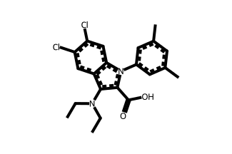 CCN(CC)c1c(C(=O)O)n(-c2cc(C)cc(C)c2)c2cc(Cl)c(Cl)cc12